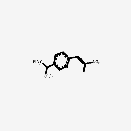 CCOC(=O)C(C(=O)OCC)c1ccc(C=C(C)[N+](=O)[O-])cc1